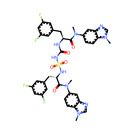 CN(C(=O)[C@H](Cc1cc(F)cc(F)c1)NC(=O)NS(=O)(=O)N[C@@H](Cc1cc(F)cc(F)c1)C(=O)N(C)c1ccc2c(c1)ncn2C)c1ccc2c(c1)ncn2C